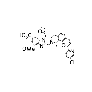 COc1cc(C(=O)O)cc2c1nc(CN1CCc3ccc4c(c3C1C)O[C@@H](c1ccc(Cl)cn1)C=C4)n2C[C@@H]1CCO1